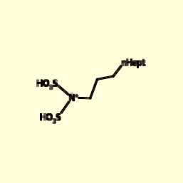 CCCCCCCCCC[N+](S(=O)(=O)O)S(=O)(=O)O